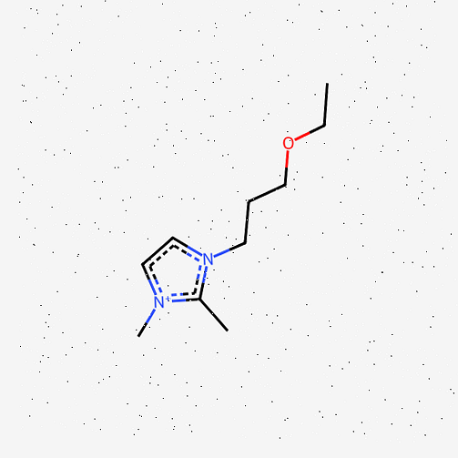 CCOCCCn1cc[n+](C)c1C